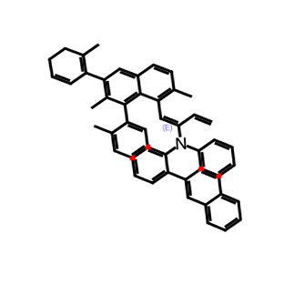 C=C/C(=C\c1c(C)ccc2cc(C3=C(C)CCC=C3)c(C)c(-c3ccccc3C)c12)N(c1ccccc1)c1ccccc1-c1ccc2ccccc2c1